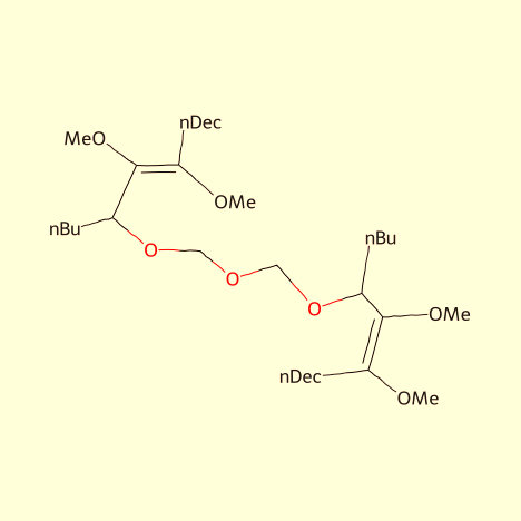 CCCCCCCCCCC(OC)=C(OC)C(CCCC)OCOCOC(CCCC)C(OC)=C(CCCCCCCCCC)OC